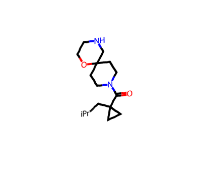 CC(C)CC1(C(=O)N2CCC3(CC2)CNCCO3)CC1